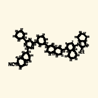 CCc1nc2c(n1-c1ccc(-c3ccc4ccc(-c5cccc(-c6nc(-c7ccccc7)nc(-c7ccc8ccc(C#N)cc8c7)n6)c5)cc4c3)c3ccccc13)C=CCC2